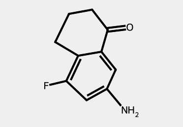 Nc1cc(F)c2c(c1)C(=O)CCC2